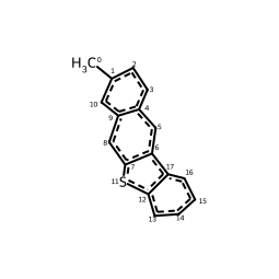 Cc1ccc2cc3c(cc2c1)sc1ccccc13